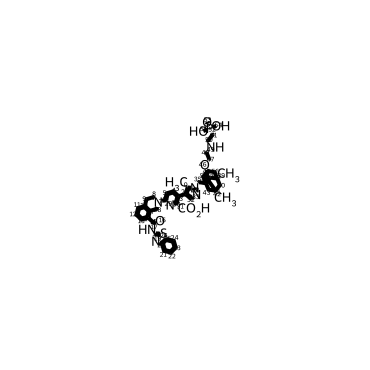 Cc1c(-c2ccc(N3CCc4cccc(C(=O)Nc5nc6ccccc6s5)c4C3)nc2C(=O)O)cnn1CC12CC3(C)CC(C)(C1)CC(OCCNCCP(=O)(O)O)(C3)C2